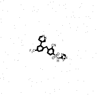 N#Cc1cc(S(=O)(=O)Nc2ncns2)ccc1Cc1ccc(C(F)(F)F)cc1-c1ccnnc1